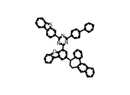 c1ccc(-c2ccc(-c3nc(-c4ccc5c(c4)sc4ccccc45)nc(-c4cc(C5CCc6cc7ccccc7cc6-c6ccccc65)cc5c4oc4ccccc45)n3)cc2)cc1